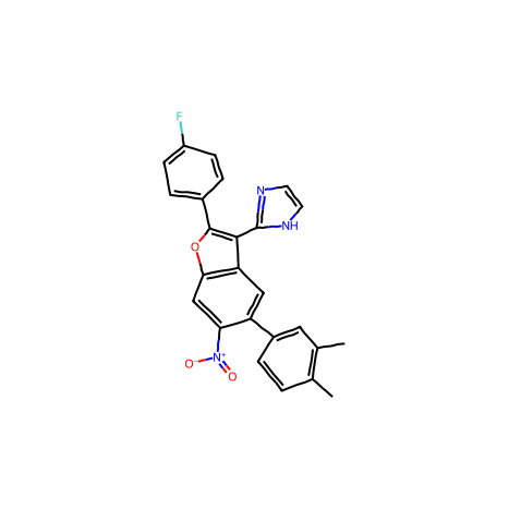 Cc1ccc(-c2cc3c(-c4ncc[nH]4)c(-c4ccc(F)cc4)oc3cc2[N+](=O)[O-])cc1C